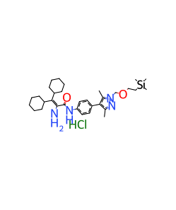 Cc1nn(COCC[Si](C)(C)C)c(C)c1-c1ccc(NC(=O)C(N)=C(C2CCCCC2)C2CCCCC2)cc1.Cl